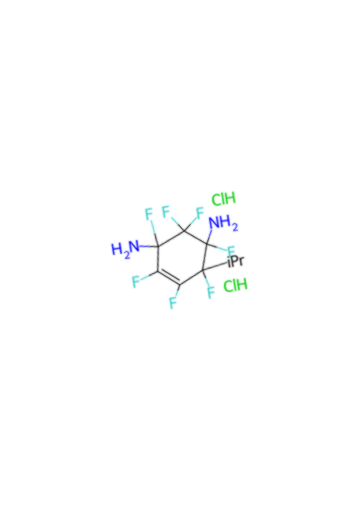 CC(C)C1(F)C(F)=C(F)C(N)(F)C(F)(F)C1(N)F.Cl.Cl